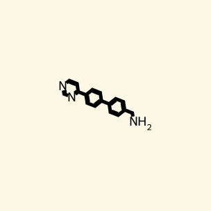 NCc1ccc(-c2ccc(-c3ccncn3)cc2)cc1